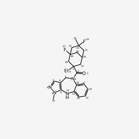 CCC1(C(=O)N2Cc3cnn(C)c3Nc3ccccc32)CC2CC(C)(F)CC(F)(C2)C1